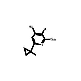 COc1nc(C2(C)CC2)cc(O)c1Br